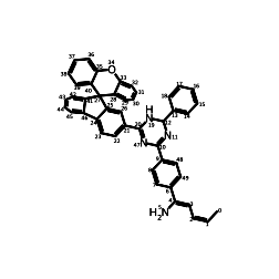 C/C=C\C=C(/N)c1ccc(C2=NC(c3ccccc3)NC(c3ccc4c(c3)C3(c5ccccc5Oc5ccccc53)c3ccccc3-4)=N2)cc1